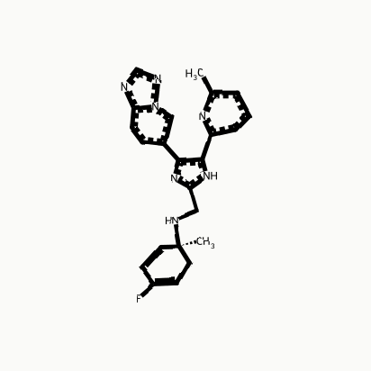 Cc1cccc(-c2[nH]c(CN[C@]3(C)C=CC(F)=CC3)nc2-c2ccc3ncnn3c2)n1